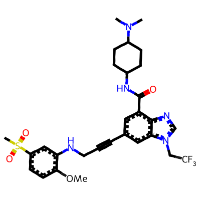 COc1ccc(S(C)(=O)=O)cc1NCC#Cc1cc(C(=O)NC2CCC(N(C)C)CC2)c2ncn(CC(F)(F)F)c2c1